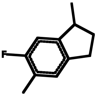 Cc1cc2c(cc1F)C(C)CC2